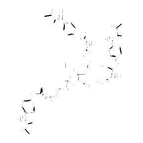 C=C(C)C(=O)Nc1ccc(OC(=O)NC(C)(C)CCOC(C)(C)CC(CC(C)C)(CC(C)(C)OCCC(C)(CC)NC(=O)Oc2ccc(NC(=O)C(=C)C)cc2)CC(C)(C)OCC(C)(C)NC(=O)Oc2ccc(NC(=O)C(=C)C)cc2)cc1